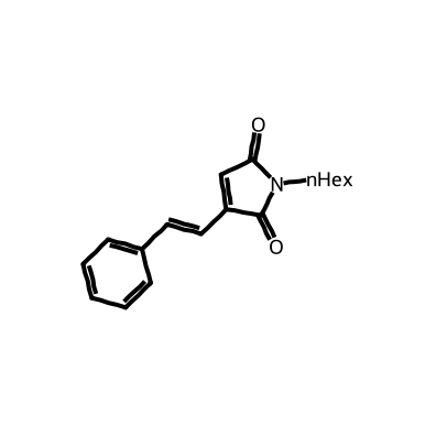 CCCCCCN1C(=O)C=C(C=Cc2ccccc2)C1=O